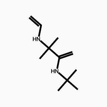 C=CNC(C)(C)C(=C)NC(C)(C)C